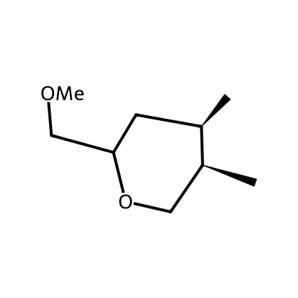 COCC1C[C@@H](C)[C@@H](C)CO1